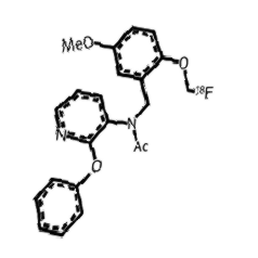 COc1ccc(OC[18F])c(CN(C(C)=O)c2cccnc2Oc2ccccc2)c1